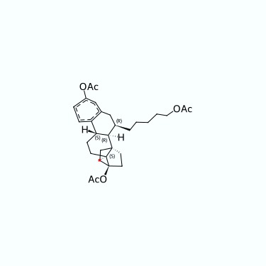 CC(=O)OCCCCC[C@@H]1Cc2cc(OC(C)=O)ccc2[C@H]2CC[C@]3(C)[C@]4(OC(C)=O)CC[C@]3(CC4)[C@H]12